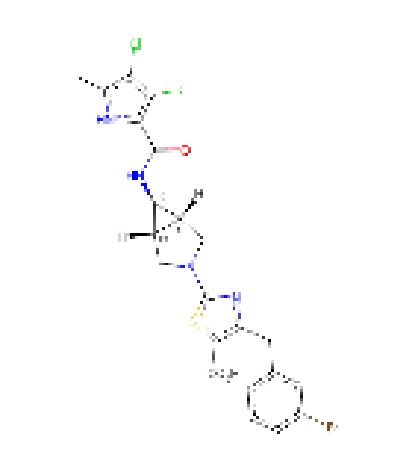 Cc1[nH]c(C(=O)N[C@H]2[C@@H]3CN(c4nc(Cc5cccc(Br)c5)c(C(=O)O)s4)C[C@@H]32)c(Cl)c1Cl